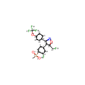 CS(=O)(=O)c1ccc(-c2c(-c3ccc(OC(F)(F)F)cc3)noc2CF)cc1F